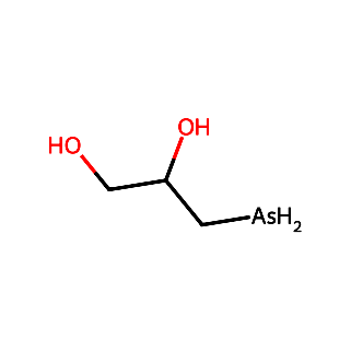 OCC(O)C[AsH2]